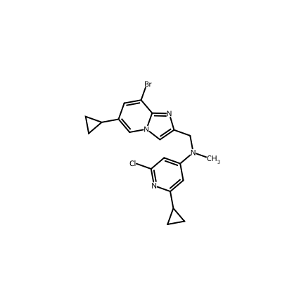 CN(Cc1cn2cc(C3CC3)cc(Br)c2n1)c1cc(Cl)nc(C2CC2)c1